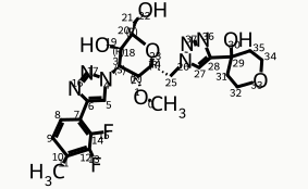 CO[C@@H]1[C@@H](n2cc(-c3ccc(C)c(F)c3F)nn2)[C@@H](O)[C@@H](CO)O[C@@H]1Cn1cc(C2(O)CCOCC2)nn1